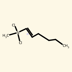 CCCC/C=C/[Si](C)(Cl)Cl